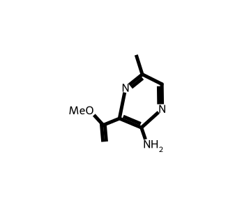 C=C(OC)c1nc(C)cnc1N